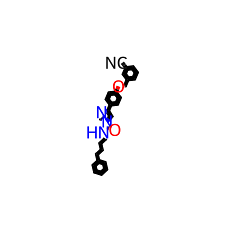 N#Cc1cccc(COc2ccc(-c3cn(C(=O)NCCCCc4ccccc4)cn3)cc2)c1